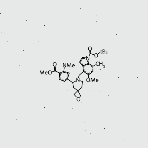 CNc1cc(C2CC3(CCN2Cc2c(OC)cc(C)c4c2ccn4C(=O)OC(C)(C)C)COC3)ccc1C(=O)OC